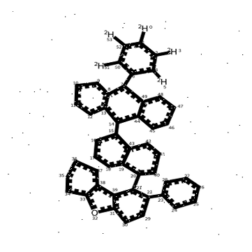 [2H]c1c([2H])c([2H])c(-c2c3ccccc3c(-c3cccc4c(-c5c(-c6ccccc6)ccc6oc7ccccc7c56)cccc34)c3ccccc23)c([2H])c1[2H]